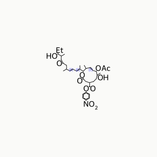 CCC(O)C(C)C1OC1CC(C)/C=C/C=C(\C)C1OC(=O)CC(C(=O)Oc2ccc([N+](=O)[O-])cc2)CCC(C)(O)C(OC(C)=O)/C=C/C1C